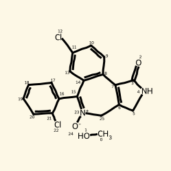 CO.O=C1NCC2=C1c1ccc(Cl)cc1C(c1ccccc1Cl)=[N+]([O-])C2